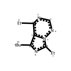 CCc1ncnn2c(CC)nc(C(C)(C)C)c12